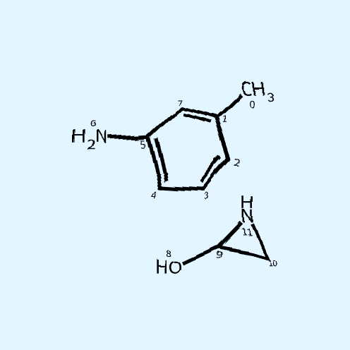 Cc1cccc(N)c1.OC1CN1